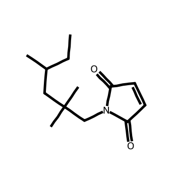 CCC(C)CC(C)(C)CN1C(=O)C=CC1=O